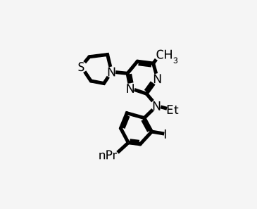 CCCc1ccc(N(CC)c2nc(C)cc(N3CCSCC3)n2)c(I)c1